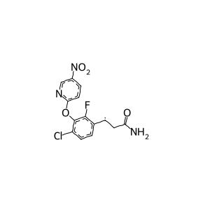 NC(=O)C[CH]c1ccc(Cl)c(Oc2ccc([N+](=O)[O-])cn2)c1F